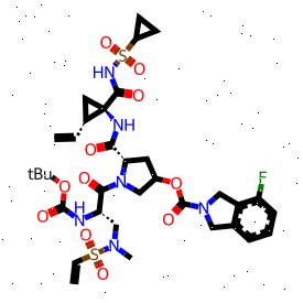 C=C[C@@H]1C[C@]1(NC(=O)[C@@H]1CC(OC(=O)N2Cc3cccc(F)c3C2)CN1C(=O)[C@H](CN(C)S(=O)(=O)C=C)NC(=O)OC(C)(C)C)C(=O)NS(=O)(=O)C1CC1